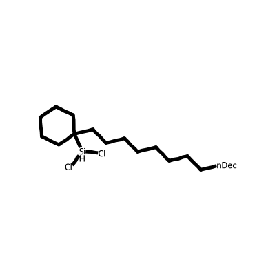 CCCCCCCCCCCCCCCCCCC1([SiH](Cl)Cl)CCCCC1